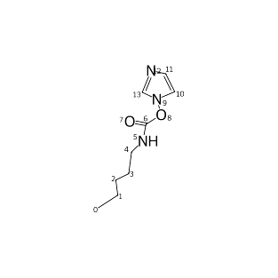 CCCCCNC(=O)On1ccnc1